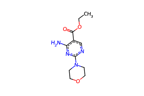 CCOC(=O)c1cnc(N2CCOCC2)nc1N